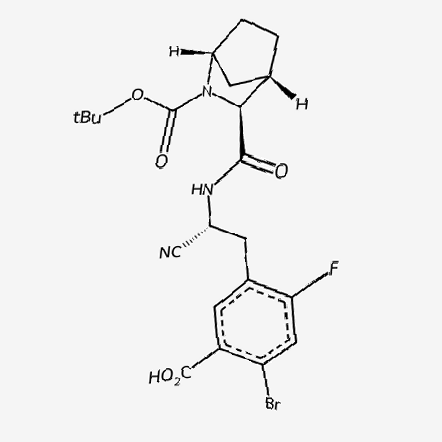 CC(C)(C)OC(=O)N1[C@@H]2CC[C@@H](C2)[C@H]1C(=O)N[C@@H](C#N)Cc1cc(C(=O)O)c(Br)cc1F